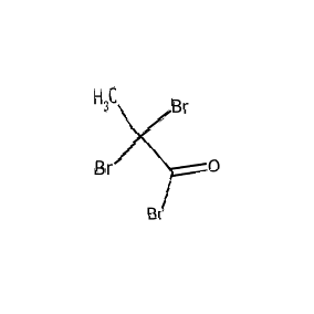 CC(Br)(Br)C(=O)Br